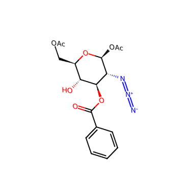 CC(=O)OC[C@H]1O[C@@H](OC(C)=O)[C@H](N=[N+]=[N-])[C@@H](OC(=O)c2ccccc2)[C@@H]1O